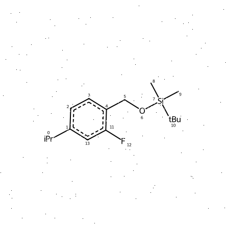 CC(C)c1ccc(CO[Si](C)(C)C(C)(C)C)c(F)c1